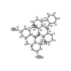 CC(C)(C)c1cc(C#N)c2c(c1)Sc1cc(C(C)(C)C)cc(C#N)c1N2B1c2ccccc2-n2c3ccccc3c3cccc1c32